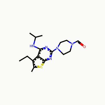 CCc1c(C)sc2nc(N3CCN(C=O)CC3)nc(NC(C)C)c12